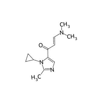 Cc1ncc(C(=O)/C=C/N(C)C)n1C1CC1